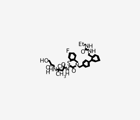 CCNC(=O)NCc1ccccc1-c1ccc(CN2Cc3ccc(F)cc3S[C@@H](NC(=O)CC(C)(C)NC[C@H](O)CO)C2=O)cc1